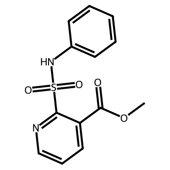 COC(=O)c1cccnc1S(=O)(=O)Nc1ccccc1